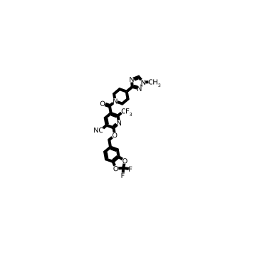 Cn1cnc(C2CCN(C(=O)c3cc(C#N)c(OCc4ccc5c(c4)OC(F)(F)O5)nc3C(F)(F)F)CC2)n1